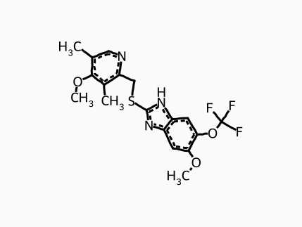 COc1cc2nc(SCc3ncc(C)c(OC)c3C)[nH]c2cc1OC(F)(F)F